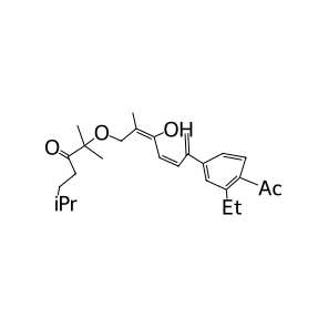 C=C(/C=C\C(O)=C(\C)COC(C)(C)C(=O)CCC(C)C)c1ccc(C(C)=O)c(CC)c1